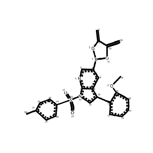 C=C1OB(c2cnc3c(c2)c(-c2ccccc2OC)cn3S(=O)(=O)c2ccc(C)cc2)OC1=C